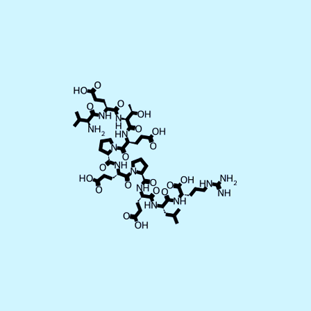 CC(C)C[C@H](NC(=O)[C@H](CCC(=O)O)NC(=O)[C@@H]1CCCN1C(=O)[C@H](CCC(=O)O)NC(=O)[C@@H]1CCCN1C(=O)[C@H](CCC(=O)O)NC(=O)[C@@H](NC(=O)[C@H](CCC(=O)O)NC(=O)[C@@H](N)C(C)C)[C@@H](C)O)C(=O)N[C@@H](CCCNC(=N)N)C(=O)O